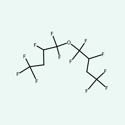 FC(CC(F)(F)F)C(F)(F)OC(F)(F)C(F)CC(F)(F)F